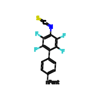 CCCCCc1ccc(-c2c(F)c(F)c(N=C=S)c(F)c2F)cc1